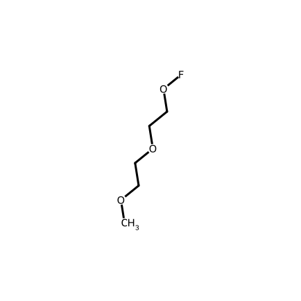 COCCOCCOF